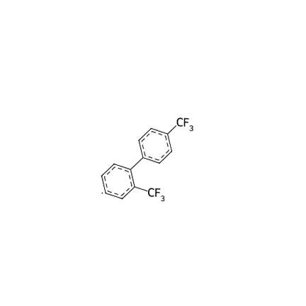 FC(F)(F)c1ccc(-c2cc[c]cc2C(F)(F)F)cc1